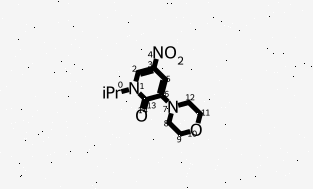 CC(C)n1cc([N+](=O)[O-])cc(N2CCOCC2)c1=O